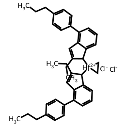 CCCc1ccc(-c2cccc3c2C=C(CC)[CH]3[Hf+2]2([CH]3C(CC)=Cc4c(-c5ccc(CCC)cc5)cccc43)[CH2][CH2]2)cc1.[Cl-].[Cl-]